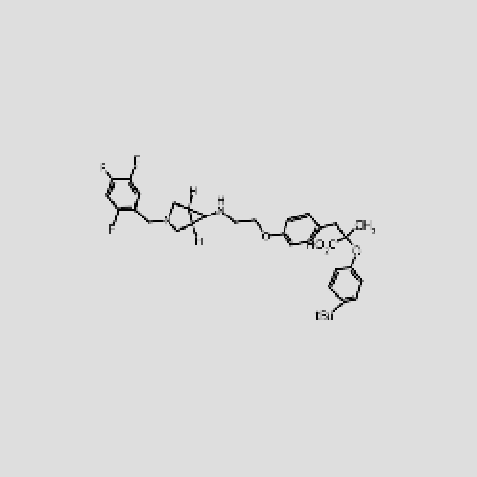 CC(Cc1ccc(OCCN[C@H]2[C@@H]3CN(Cc4cc(F)c(F)cc4F)C[C@@H]32)cc1)(Oc1ccc(C(C)(C)C)cc1)C(=O)O